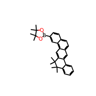 CC1(C)OB(c2ccc3ccc4cc5c(cc4c3c2)C(C)(C)C(C)(C)c2ccccc2-5)OC1(C)C